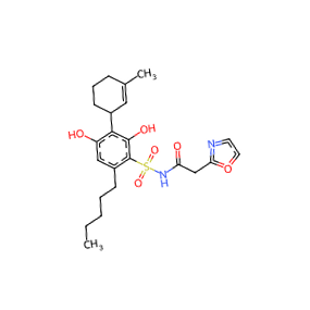 CCCCCc1cc(O)c(C2C=C(C)CCC2)c(O)c1S(=O)(=O)NC(=O)Cc1ncco1